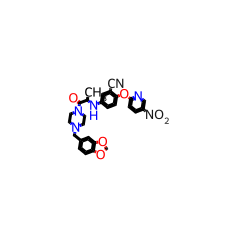 CC(Nc1ccc(Oc2ccc([N+](=O)[O-])cn2)c(C#N)c1)C(=O)N1CCN(Cc2ccc3c(c2)OCO3)CC1